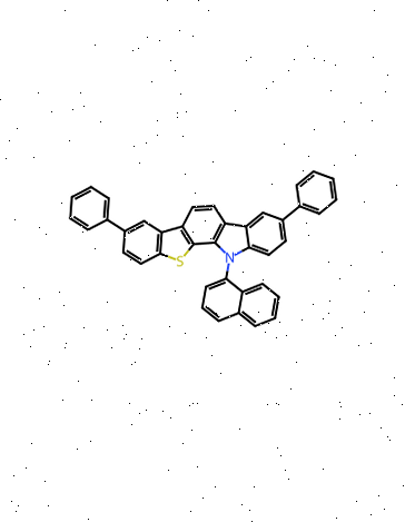 c1ccc(-c2ccc3sc4c(ccc5c6cc(-c7ccccc7)ccc6n(-c6cccc7ccccc67)c54)c3c2)cc1